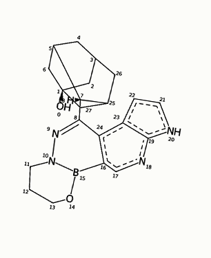 O[C@]12CC3CC(C1)[C@@H](C1=NN4CCCOB4c4cnc5[nH]ccc5c41)C(C3)C2